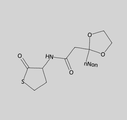 CCCCCCCCCC1(CC(=O)NC2CCSC2=O)OCCO1